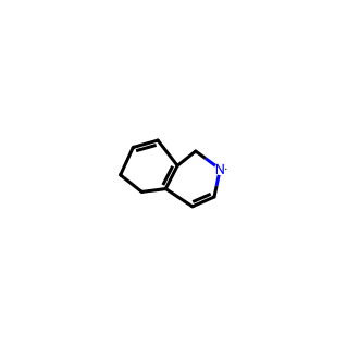 C1=CC2=C(C=C[N]C2)CC1